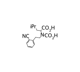 CC(C)CC(C(=O)O)N(CCc1ccccc1C#N)C(=O)O